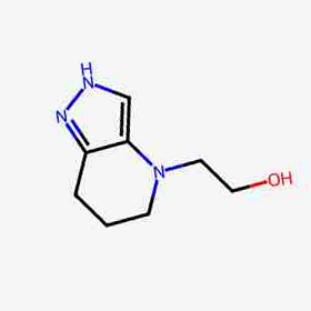 OCCN1CCCc2n[nH]cc21